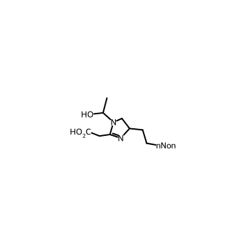 CCCCCCCCCCCC1CN(C(C)O)C(CC(=O)O)=N1